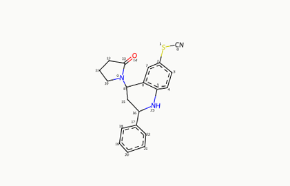 N#CSc1ccc2c(c1)C(N1CCCC1=O)CC(c1ccccc1)N2